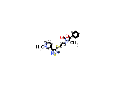 C[C@@H]1[C@H](c2ccccc2)OC(=O)N1CCCSc1nsnc1C1=CCCN(C)C1